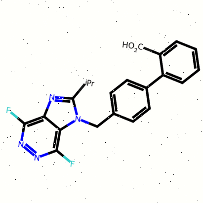 CC(C)c1nc2c(F)nnc(F)c2n1Cc1ccc(-c2ccccc2C(=O)O)cc1